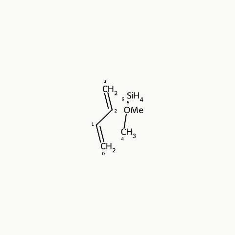 C=CC=C.COC.[SiH4]